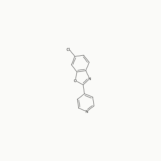 Clc1ccc2nc(-c3ccncc3)oc2c1